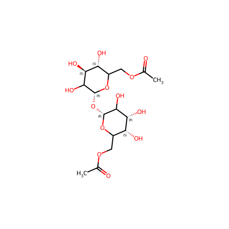 CC(=O)OCC1O[C@H](O[C@H]2OC(COC(C)=O)[C@@H](O)[C@@H](O)C2O)C(O)[C@@H](O)[C@@H]1O